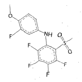 COc1ccc(Nc2c(F)c(F)c(F)c(F)c2S(C)(=O)=O)cc1F